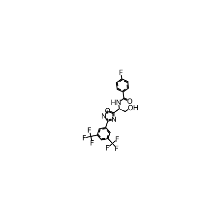 O=C(N[C@@H](CO)c1nc(-c2cc(C(F)(F)F)cc(C(F)(F)F)c2)no1)c1ccc(F)cc1